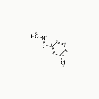 ON=Cc1[c]ccc(Cl)c1